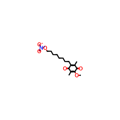 COC1=C(C)C(=O)C(CCCCCCCCO[N+](=O)[O-])=C(C)C1=O